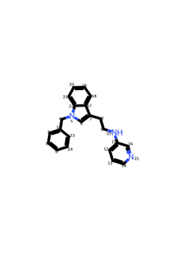 c1ccc(Cn2cc(CCNc3cccnc3)c3ccccc32)cc1